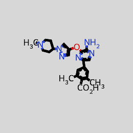 Cc1cc(-c2cnc(N)c(Oc3cnn(C4CCN(C)CC4)c3)n2)cc(C)c1C(=O)O